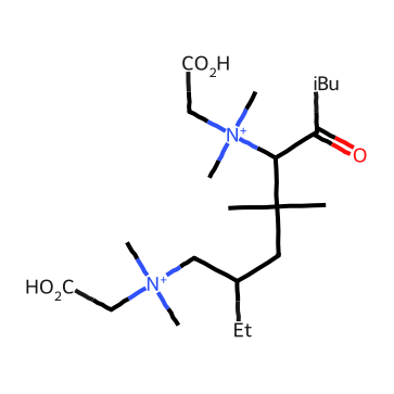 CCC(CC(C)(C)C(C(=O)C(C)CC)[N+](C)(C)CC(=O)O)C[N+](C)(C)CC(=O)O